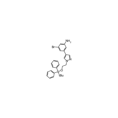 CC(C)(C)[Si](OCCn1cc(-c2cc(N)cc(Br)c2)cn1)(c1ccccc1)c1ccccc1